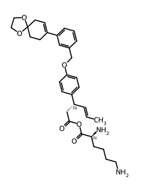 CC=C[C@H](CC(=O)OC(=O)[C@@H](N)CCCCN)c1ccc(OCc2cccc(C3=CCC4(CC3)OCCO4)c2)cc1